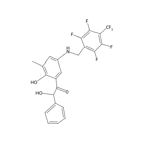 Cc1cc(NCc2c(F)c(F)c(C(F)(F)F)c(F)c2F)cc(C(=O)C(O)c2ccccc2)c1O